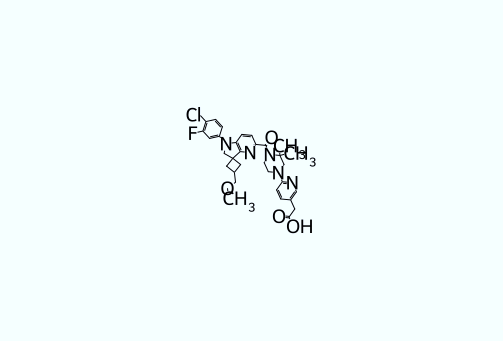 COCC1CC2(C1)CN(c1ccc(Cl)c(F)c1)c1ccc(C(=O)N3CCN(c4ccc(CC(=O)O)cn4)CC3(C)C)nc12